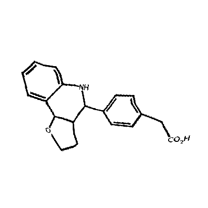 O=C(O)Cc1ccc(C2Nc3ccccc3C3OCCC23)cc1